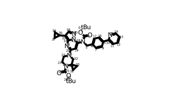 CC(C)(C)OC(=O)N(Cc1ccc(-c2ccccn2)cc1)c1cc(N2CCN(C(=O)OC(C)(C)C)C3(CC3)C2)nc2c(C3CC3)cnn12